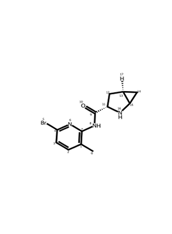 Cc1ccc(Br)nc1NC(=O)[C@@H]1C[C@H]2CC2N1